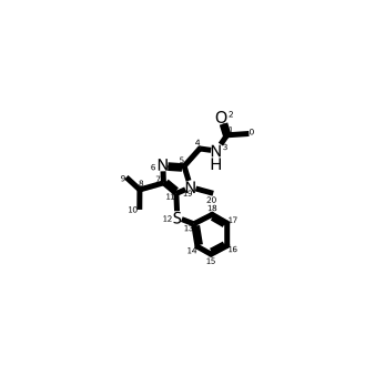 CC(=O)NCc1nc(C(C)C)c(Sc2ccccc2)n1C